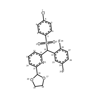 O=S(=O)(c1ccc(Cl)cc1)C(c1cccc(C2OCCO2)n1)c1cc(F)ccc1F